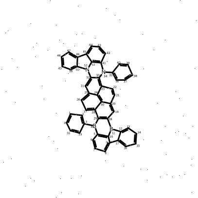 c1ccc(B2c3cccc4c3B(c3ccccc3-4)c3cc4ccc5c6c(ccc(c32)c46)cc2c5n(-c3ccccc3)c3cccc4c5ccccc5n2c43)cc1